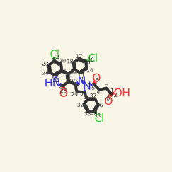 O=C(O)CCC(=O)N1N=C(c2c(-c3ccc(Cl)cc3)c3cc(Cl)ccc3[nH]c2=O)CC1c1ccc(Cl)cc1